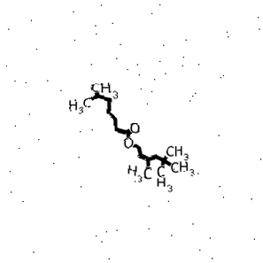 CC(C)CCCCC(=O)OCCC(C)CC(C)(C)C